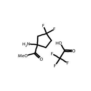 COC(=O)C1(N)CCC(F)(F)C1.O=C(O)C(F)(F)F